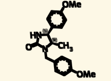 COc1ccc(CN2C(=O)N[C@@H](c3ccc(OC)cc3)[C@H]2C)cc1